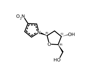 O=[N+]([O-])c1ccn([C@H]2C[C@H](O)[C@@H](CO)O2)c1